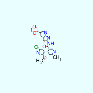 COc1cnc(Cl)cc1-c1cc(C)ncc1C(=O)Nc1nc2ncc(C3COCCO3)cc2s1